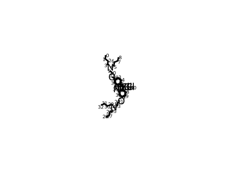 CCCCN(CCCC)CCOc1ccc2cc3ccc(OCCN(CCCC)CCCC)cc3nc2c1.Cl.Cl.Cl